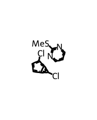 CSc1ncccn1.Clc1ccc2c(Cl)c1-2